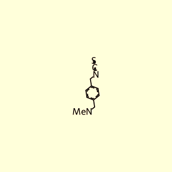 CNCc1ccc(CN=C=S)cc1